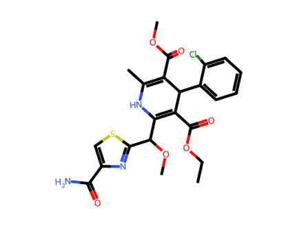 CCOC(=O)C1=C(C(OC)c2nc(C(N)=O)cs2)NC(C)=C(C(=O)OC)C1c1ccccc1Cl